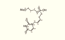 COCCCOP(=O)(O)CC/C=C\Cn1ccc(=O)[nH]c1=O